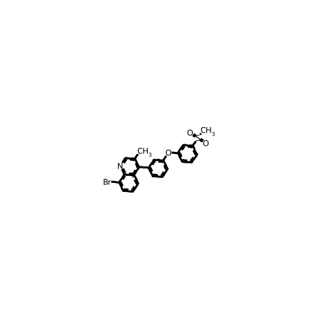 Cc1cnc2c(Br)cccc2c1-c1cccc(Oc2cccc(S(C)(=O)=O)c2)c1